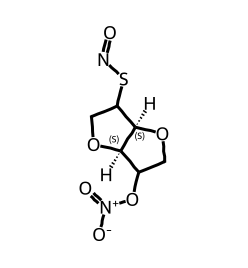 O=NSC1CO[C@@H]2C(O[N+](=O)[O-])CO[C@H]12